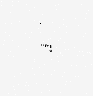 [Fe].[Ni].[Ta].[Ti]